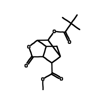 COC(=O)C1C2CC3C(OC(=O)C31)C2OC(=O)C(C)(C)C